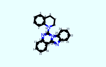 c1ccc2c(c1)CCCN2c1nc2ccccc2c2nc3ccccc3n12